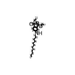 CCCCCCCCCCCCNc1ccc(C(=O)OCC)c(C(=O)OCC)c1